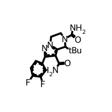 CC(C)(C)C1c2c(C(N)=O)c(-c3ccc(F)c(F)c3)nn2CCN1C(N)=O